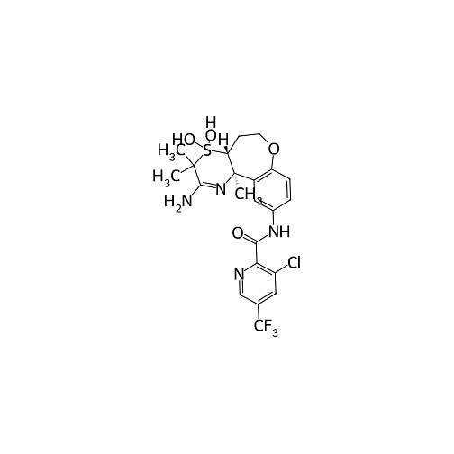 CC1(C)C(N)=N[C@]2(C)c3cc(NC(=O)c4ncc(C(F)(F)F)cc4Cl)ccc3OCC[C@H]2S1(O)O